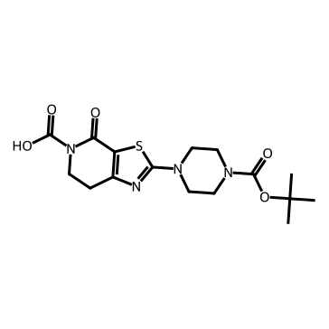 CC(C)(C)OC(=O)N1CCN(c2nc3c(s2)C(=O)N(C(=O)O)CC3)CC1